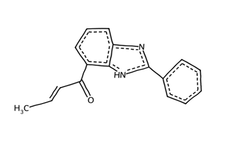 CC=CC(=O)c1cccc2nc(-c3ccccc3)[nH]c12